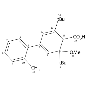 COC1(C(C)(C)C)C=C(c2ccccc2C)C=C(C(C)(C)C)C1C(=O)O